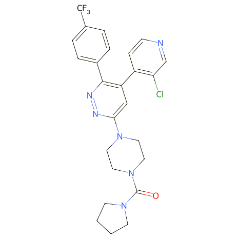 O=C(N1CCCC1)N1CCN(c2cc(-c3ccncc3Cl)c(-c3ccc(C(F)(F)F)cc3)nn2)CC1